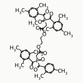 Cc1ccc(C(=O)P(=O)(CC(=O)OCCOC(=O)CP(=O)(C(=O)c2c(C)cc(C)cc2C)C(=O)c2c(C)cc(C)cc2C)C(=O)c2c(C)cc(C)cc2C)c(C)c1